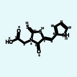 O=C(O)CN1C(=O)C(=Cc2ccc[nH]2)SC1=S